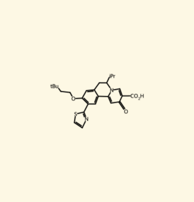 CC(C)C1Cc2cc(OCCC(C)(C)C)c(-c3nccs3)cc2-c2cc(=O)c(C(=O)O)cn21